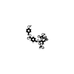 COc1ccc(COC(=O)c2ccc(COC(=O)C3=C(COC(C)=O)CS(=O)(=O)C4C(OC)C(=O)N34)cc2)cc1